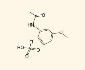 COc1cccc(NC(C)=O)c1.O=S(=O)(O)Cl